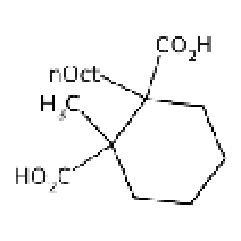 CCCCCCCCC1(C(=O)O)CCCCC1(C)C(=O)O